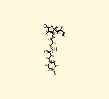 C=C/C(C)=C/C1(C)SC(=O)C(C)=C1OCCCNC(=O)CCN1CCN(C)CC1